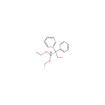 CCO[SiH](OCC)C(CC)(c1ccccc1)c1ccccc1